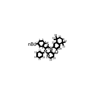 CCCCc1ccc2sc3c(c2c1)N(c1ccccc1)c1nccc2c1B3c1cc3c(cc1O2)C(C)(C)CCC3(C)C